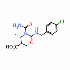 C[C@@H](C(=O)O)[C@H](C)N(C(N)=O)C(=O)NCc1ccc(Cl)cc1